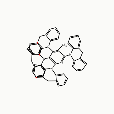 FC(F)(F)c1c(N2c3ccccc3Cc3ccccc32)nc(N2c3ccccc3Cc3ccccc32)c(N2c3ccccc3Cc3ccccc32)c1N1c2ccccc2Cc2ccccc21